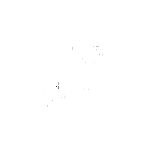 CC(C)(C)OC(=O)NC(C#N)(CCCCB1OC(C)(C)C(C)(C)O1)C(=O)OC(C)(C)C